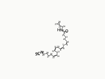 O=C(CCC/C=C\C/C=C\C/C=C\C/C=C\CCCCN=C=S)NCC1CC1